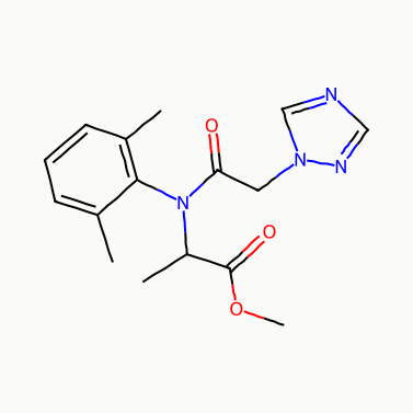 COC(=O)C(C)N(C(=O)Cn1cncn1)c1c(C)cccc1C